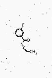 CC=C=NC(=O)c1cccc(F)c1